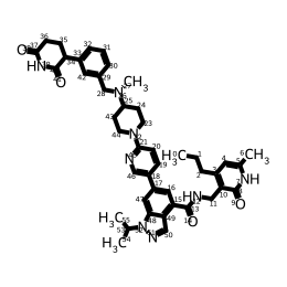 CCCc1cc(C)[nH]c(=O)c1CNC(=O)c1cc(-c2ccc(N3CCC(N(C)Cc4cccc(C5CCC(=O)NC5=O)c4)CC3)nc2)cc2c1cnn2C(C)C